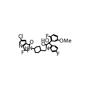 COc1ccc(F)c(C2(O)C(=O)N(CC3CCC(NC(=O)c4cc(Cl)cnc4C(F)F)CC3)c3cc(F)ccc32)c1